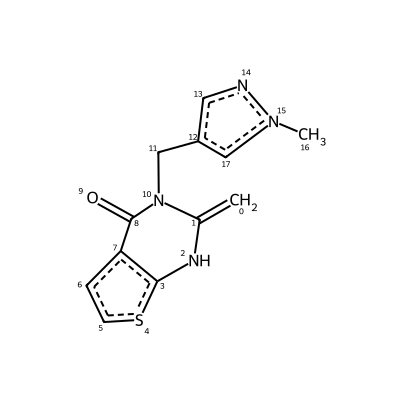 C=C1Nc2sccc2C(=O)N1Cc1cnn(C)c1